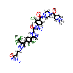 Cn1c(-c2ccc(-c3cn(CCCC(N)=O)nc3C(F)(F)F)c(F)c2F)cnc1C(=O)Nc1ccc(C(=O)N2CCN(C(=O)C3CC[N+](C)(C)CC3)CC2)c(Cl)c1